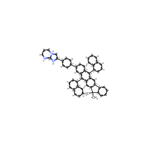 CC1(C)c2ccccc2-c2cc3c(-c4cccc5ccccc45)c4ccc(-c5ccc(-c6cn7cccnc7n6)cc5)cc4c(-c4cccc5ccccc45)c3cc21